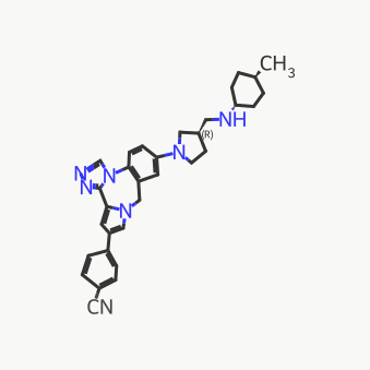 C[C@H]1CC[C@H](NC[C@H]2CCN(c3ccc4c(c3)Cn3cc(-c5ccc(C#N)cc5)cc3-c3nncn3-4)C2)CC1